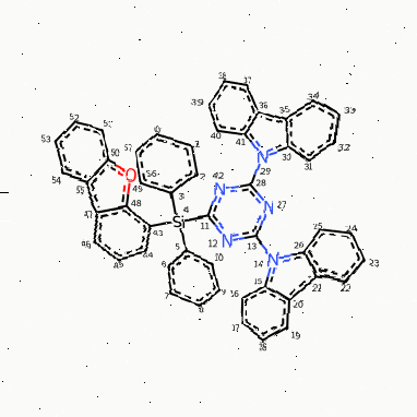 c1ccc([Si](c2ccccc2)(c2nc(-n3c4ccccc4c4ccccc43)nc(-n3c4ccccc4c4ccccc43)n2)c2cccc3c2oc2ccccc23)cc1